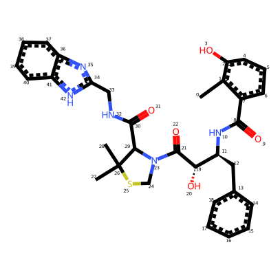 Cc1c(O)cccc1C(=O)N[C@@H](Cc1ccccc1)[C@H](O)C(=O)N1CSC(C)(C)C1C(=O)NCc1nc2ccccc2[nH]1